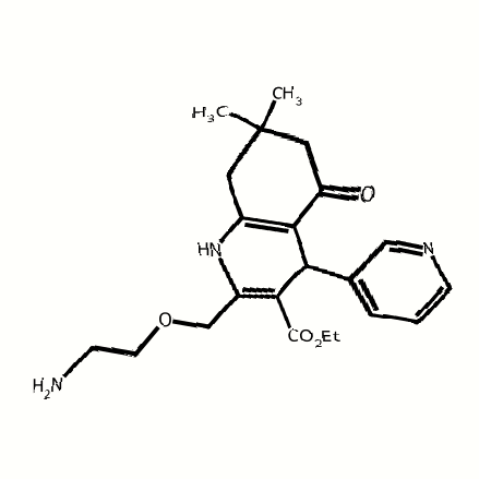 CCOC(=O)C1=C(COCCN)NC2=C(C(=O)CC(C)(C)C2)C1c1cccnc1